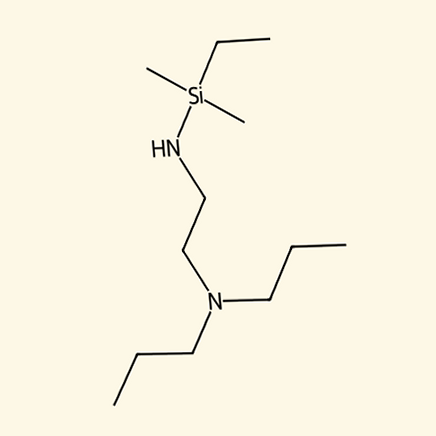 CCCN(CCC)CCN[Si](C)(C)CC